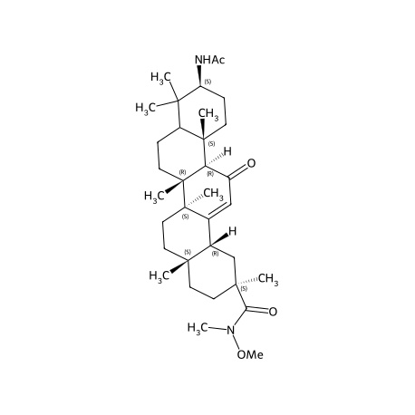 CON(C)C(=O)[C@@]1(C)CC[C@]2(C)CC[C@]3(C)C(=CC(=O)[C@@H]4[C@@]5(C)CC[C@H](NC(C)=O)C(C)(C)C5CC[C@]43C)[C@@H]2C1